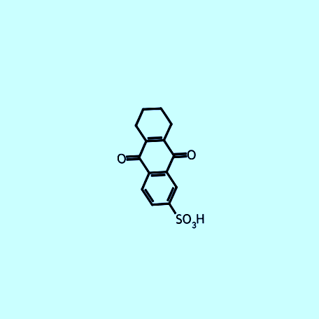 O=C1C2=C(CCCC2)C(=O)c2cc(S(=O)(=O)O)ccc21